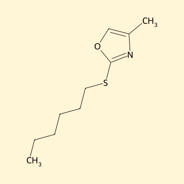 CCCCCCSc1nc(C)co1